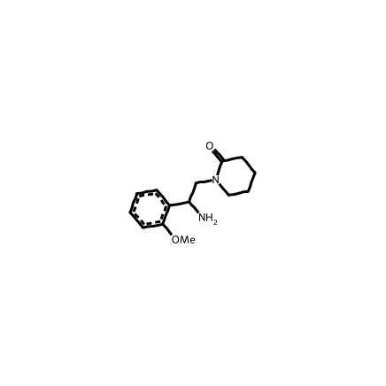 COc1ccccc1C(N)CN1CCCCC1=O